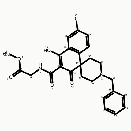 CC(C)(C)OC(=O)CNC(=O)C1=C(O)c2cc(Cl)ccc2C2(CCN(Cc3ccccc3)CC2)C1=O